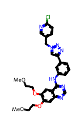 COCCOc1cc2ncnc(Nc3cccc(-c4cn(Cc5ccc(Cl)nc5)nn4)c3)c2cc1OCCOC